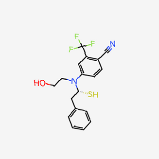 N#Cc1ccc(N(CCO)[C@H](S)Cc2ccccc2)cc1C(F)(F)F